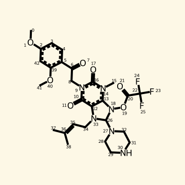 COc1ccc(C(=O)Cn2c(=O)c3c(n(C)c2=O)N(OC(=O)C(F)(F)F)C(N2CCNCC2)N3CC=C(C)C)c(OC)c1